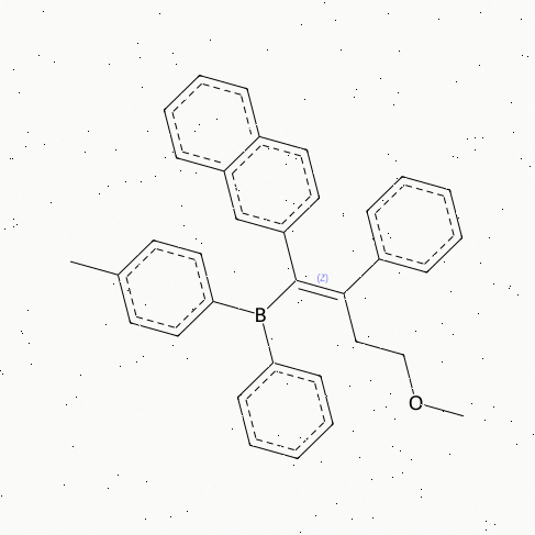 COCC/C(=C(\B(c1ccccc1)c1ccc(C)cc1)c1ccc2ccccc2c1)c1ccccc1